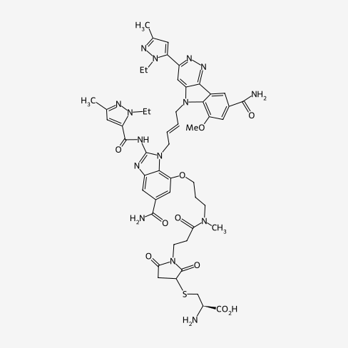 CCn1nc(C)cc1C(=O)Nc1nc2cc(C(N)=O)cc(OCCCN(C)C(=O)CCN3C(=O)CC(SC[C@H](N)C(=O)O)C3=O)c2n1C/C=C/Cn1c2cc(-c3cc(C)nn3CC)nnc2c2cc(C(N)=O)cc(OC)c21